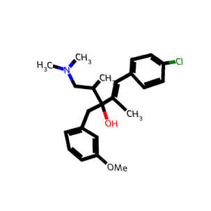 COc1cccc(CC(O)(C(C)=Cc2ccc(Cl)cc2)C(C)CN(C)C)c1